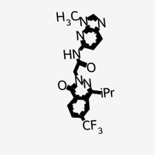 CC(C)c1nn(CC(=O)Nc2ccc3ncn(C)c3n2)c(=O)c2ccc(C(F)(F)F)cc12